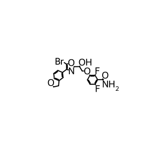 NC(=O)c1c(F)ccc(OCC(O)c2nc(-c3ccc4c(c3)CCO4)c(Br)o2)c1F